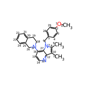 COc1ccc(Cn2c(C)c(C)c3nccc(N4CCc5ccccc5C4)c32)cc1